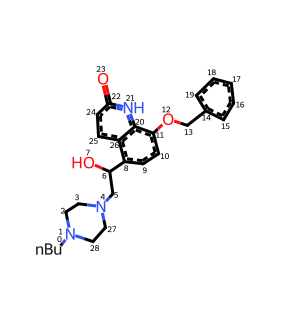 CCCCN1CCN(CC(O)c2ccc(OCc3ccccc3)c3[nH]c(=O)ccc23)CC1